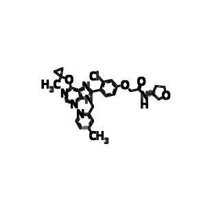 Cc1ccnc(Cn2c(-c3ccc(OCC(=O)N[C@@H]4CCOC4)cc3Cl)nc3c(OC4(C)CC4)ncnc32)c1